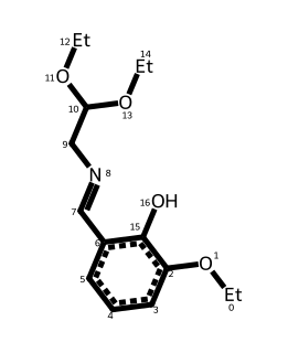 CCOc1cccc(C=NCC(OCC)OCC)c1O